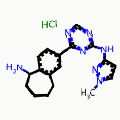 Cl.Cn1ccc(Nc2ncnc(-c3ccc4c(c3)CCCCC4N)n2)n1